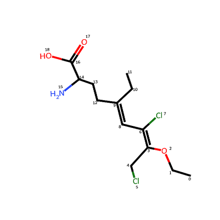 CCO/C(CCl)=C(Cl)/C=C(\CC)CCC(N)C(=O)O